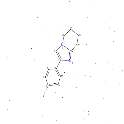 Fc1ccc(-c2cn3c(n2)CCCC3)cc1